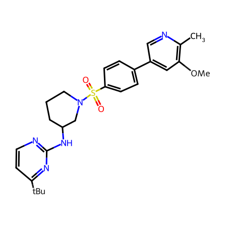 COc1cc(-c2ccc(S(=O)(=O)N3CCCC(Nc4nccc(C(C)(C)C)n4)C3)cc2)cnc1C